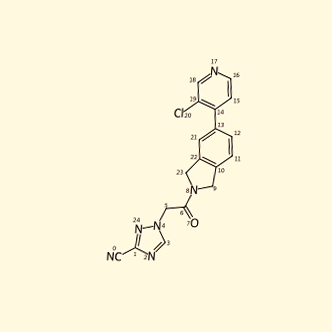 N#Cc1ncn(CC(=O)N2Cc3ccc(-c4ccncc4Cl)cc3C2)n1